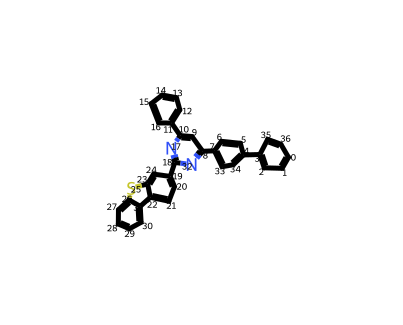 c1ccc(-c2ccc(-c3cc(-c4ccccc4)nc(-c4ccc5c(c4)sc4ccccc45)n3)cc2)cc1